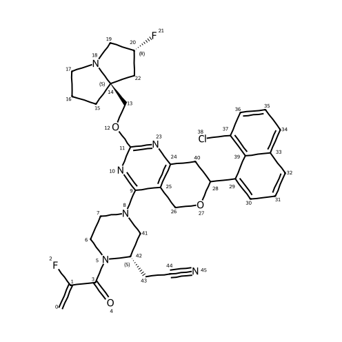 C=C(F)C(=O)N1CCN(c2nc(OC[C@@]34CCCN3C[C@H](F)C4)nc3c2COC(c2cccc4cccc(Cl)c24)C3)C[C@@H]1CC#N